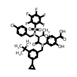 CC(C)[C@@H](C(=O)N(Cc1cc(C2CC2)cc(C(C)(C)C)c1)c1ccc(C(=O)O)c(O)c1)N(Cc1ccc(Cl)cc1)S(=O)(=O)c1c(F)c(F)c(F)c(F)c1F